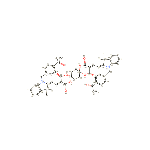 COC(=O)c1ccc(CN2/C(=C/C=C3C(=O)OC4(CCC5(CC4)OC(=O)C(=C/C=C4/N(Cc6ccc(C(=O)OC)cc6)c6ccccc6C4(C)C)C(=O)O5)OC3=O)C(C)(C)c3ccccc32)cc1